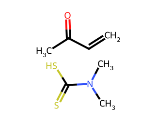 C=CC(C)=O.CN(C)C(=S)S